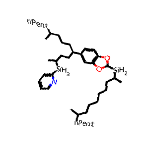 CCCCCC(C)CCCCCCC(C)[SiH2]C1Oc2ccc(C(CCCC(C)CCCCC)CCC(C)[SiH2]c3ccccn3)cc2O1